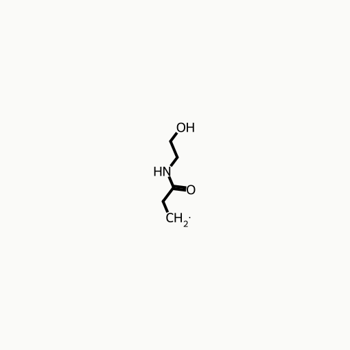 [CH2]CC(=O)NCCO